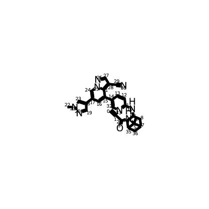 C#CC(=O)NC1(C)C2CC(Nc3ccc(-c4cc(-c5cnn(C)c5)cn5ncc(C#N)c45)cn3)CC1C2